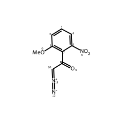 COc1cccc([N+](=O)[O-])c1C(=O)C=[N+]=[N-]